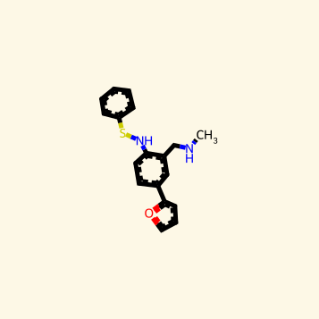 CNCc1cc(-c2ccco2)ccc1NSc1ccccc1